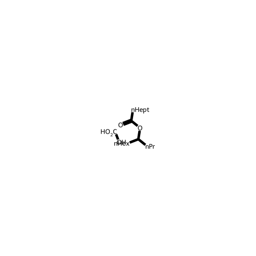 CCCCCCCC(=O)OC(CCC)CCCCCC.O=C(O)O